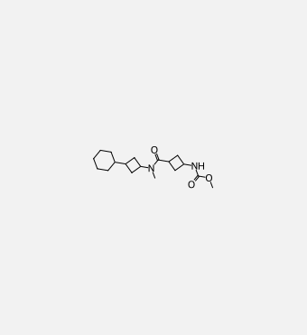 COC(=O)NC1CC(C(=O)N(C)C2CC(C3CCCCC3)C2)C1